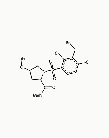 CCCOC1CC(C(=O)NC)N(S(=O)(=O)c2ccc(Cl)c(CBr)c2Cl)C1